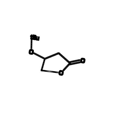 CC(C)(C)OC1COC(=O)C1